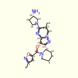 Cc1cc(C(=O)N2CCCC[C@H]2c2cc3nc(N4CC[C@H](N)C4)c(C)cn3n2)on1